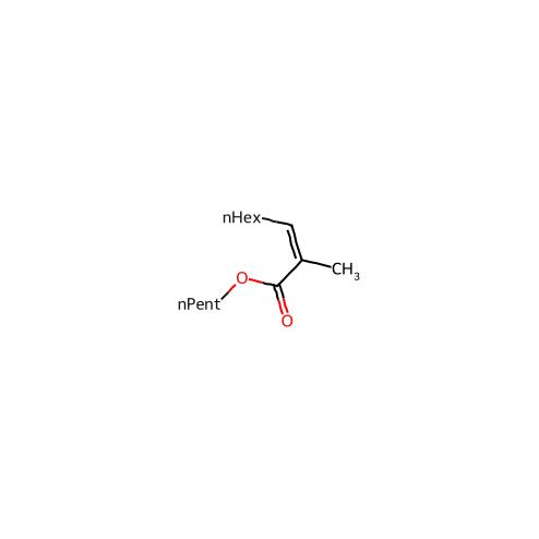 CCCCCCC=C(C)C(=O)OCCCCC